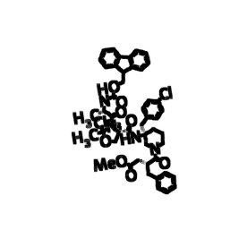 COC(=O)C[C@@H](Cc1ccccc1)C(=O)N1CCC[C@](Cc2ccc(Cl)cc2)(NC(=O)[C@@H]2COC(C)(C)N2C(=O)[C@H](C)NC(=O)OCC2c3ccccc3-c3ccccc32)C1